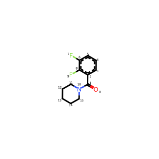 O=C(c1cccc(F)c1F)N1CCCCC1